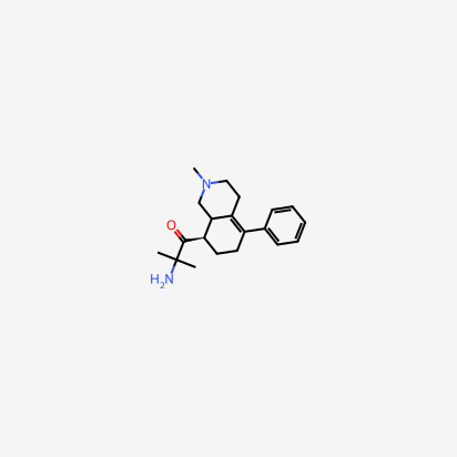 CN1CCC2=C(c3ccccc3)CC[C@@H](C(=O)C(C)(C)N)C2C1